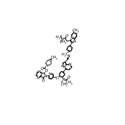 CCN(C(C)=O)c1cccc(-c2ccnc3c(C#N)cnn23)c1.CN1CCN(C(=O)OC2c3nccnc3C(=O)N2c2ccc(Cl)cn2)CC1.Cc1ccc(-c2nc3ccc(C)cn3c2CC(=O)N(C)C)cc1